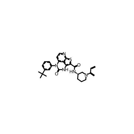 C=CC(=C)N1CCC[C@@H](NC(=O)c2sc3nccc4c3c2NC(=O)N4c2cccc(C(C)(C)C)c2)C1